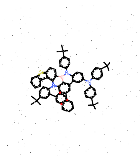 CC(C)(C)c1ccc(N2B3c4ccc5sc6ccccc6c5c4N(c4ccc(C(C)(C)C)cc4-c4ccccc4)c4cc(-c5ccccc5)cc(c43)-c3cc(N(c4ccc(C(C)(C)C)cc4)c4ccc(C(C)(C)C)cc4)ccc32)cc1